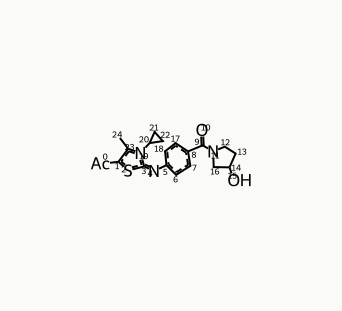 CC(=O)c1s/c(=N/c2ccc(C(=O)N3CCC(O)C3)cc2)n(C2CC2)c1C